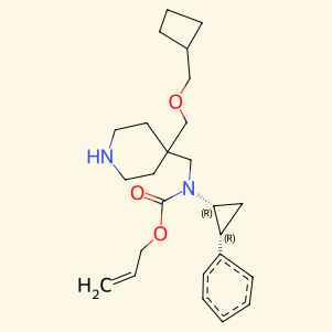 C=CCOC(=O)N(CC1(COCC2CCC2)CCNCC1)[C@@H]1C[C@@H]1c1ccccc1